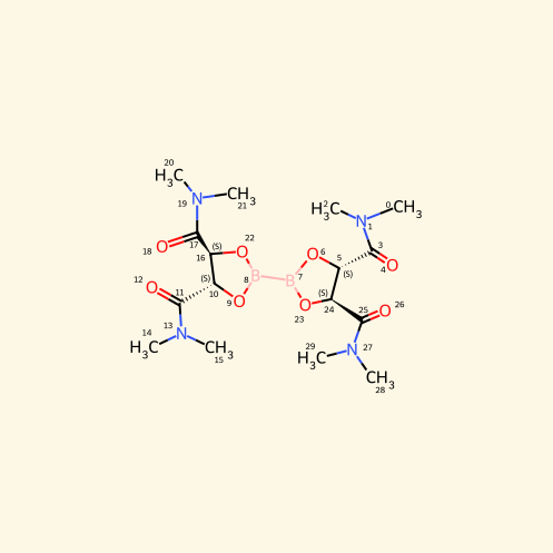 CN(C)C(=O)[C@H]1OB(B2O[C@H](C(=O)N(C)C)[C@@H](C(=O)N(C)C)O2)O[C@@H]1C(=O)N(C)C